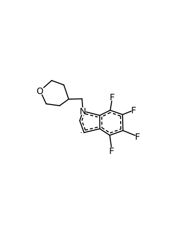 Fc1c(F)c(F)c2c([c]cn2CC2CCOCC2)c1F